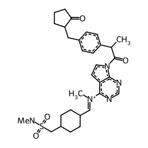 CNS(=O)(=O)CC1CCC(/C=[N+](\C)c2ncnc3c2ccn3C(=O)C(C)c2ccc(CC3CCCC3=O)cc2)CC1